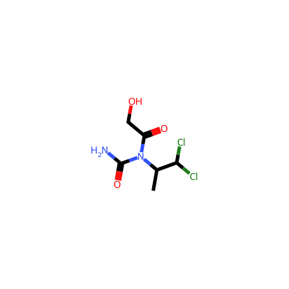 CC(C(Cl)Cl)N(C(N)=O)C(=O)CO